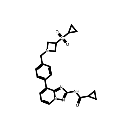 O=C(Nc1nc2c(-c3ccc(CN4CC(S(=O)(=O)C5CC5)C4)cc3)cccn2n1)C1CC1